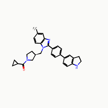 O=C(C1CC1)N1CC[C@@H](Cn2c(-c3ccc(-c4ccc5c(c4)CCN5)cc3)nc3cc(C(F)(F)F)ccc32)C1